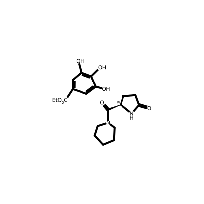 CCOC(=O)c1cc(O)c(O)c(O)c1.O=C1CC[C@H](C(=O)N2CCCCC2)N1